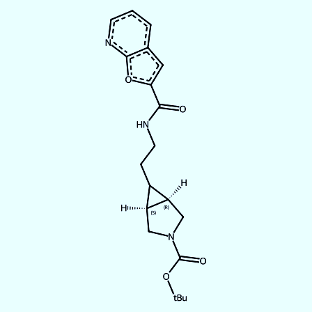 CC(C)(C)OC(=O)N1C[C@@H]2C(CCNC(=O)c3cc4cccnc4o3)[C@@H]2C1